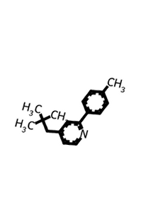 Cc1ccc(-c2cc(CC(C)(C)C)ccn2)cc1